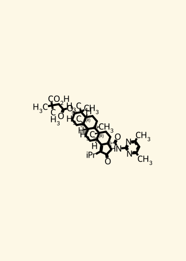 Cc1cc(C)nc(NC(=O)[C@@]23CC[C@]4(C)[C@H](CC[C@@H]5[C@@]6(C)CC[C@H](OC(=O)CC(C)(C)C(=O)O)C(C)(C)[C@@H]6CC[C@]54C)C2=C(C(C)C)C(=O)C3)n1